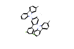 Cc1ccc2c3ccccc3n(-c3cc(-c4cc(F)cc(F)c4)c(-n4c5ccccc5c5ccc(C)cc54)cc3C#N)c2c1